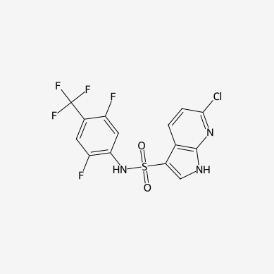 O=S(=O)(Nc1cc(F)c(C(F)(F)F)cc1F)c1c[nH]c2nc(Cl)ccc12